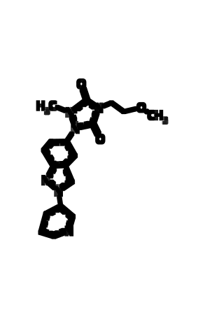 COCCn1c(=O)n(C)n(-c2ccc3nn(-c4cccnc4)cc3c2)c1=O